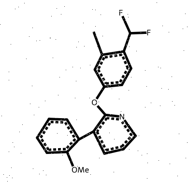 COc1ccccc1-c1cccnc1Oc1ccc(C(F)F)c(C)c1